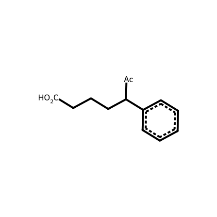 CC(=O)C(CCCC(=O)O)c1ccccc1